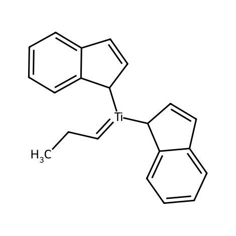 CC[CH]=[Ti]([CH]1C=Cc2ccccc21)[CH]1C=Cc2ccccc21